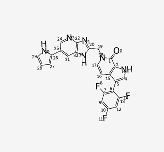 O=c1c2[nH]cc(-c3c(F)cc(F)cc3F)c2ccn1Cc1nc2ncc(-c3ccc[nH]3)cc2[nH]1